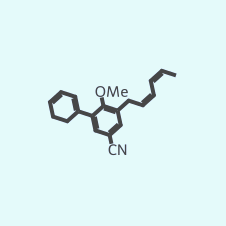 C/C=C\C=C/Cc1cc(C#N)cc(C2=CC=CCC2)c1OC